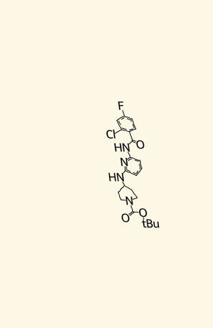 CC(C)(C)OC(=O)N1CCC(Nc2cccc(NC(=O)c3ccc(F)cc3Cl)n2)CC1